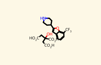 FC(F)(F)c1cccc2cc(C3CCNCC3)oc12.O=C(O)CC(O)(CC(=O)O)C(=O)O